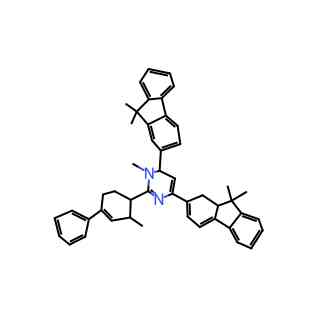 CC1C=C(c2ccccc2)CCC1C1=NC(C2=CC=C3c4ccccc4C(C)(C)C3C2)=CC(c2ccc3c(c2)C(C)(C)c2ccccc2-3)N1C